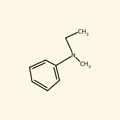 CCN(C)c1ccccc1